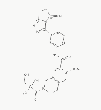 COc1cc2c(cc1C(=O)Nc1cccc(-c3nnc4n3[C@H](C)CC4)n1)CN(C(=O)C(C)(C)CO)CC2